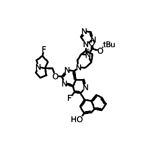 CC(C)(C)OC(=O)N1C2C[C@@H](n3cncn3)C1CN(c1nc(OCC34CCCN3CC(F)C4)nc3c(F)c(-c4cc(O)cc5ccccc45)ncc13)C2